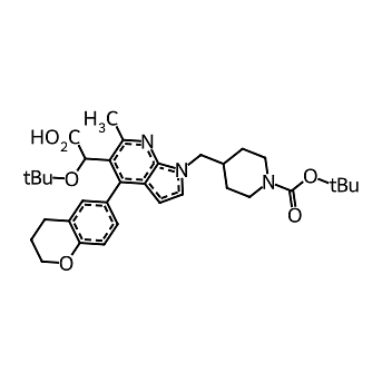 Cc1nc2c(ccn2CC2CCN(C(=O)OC(C)(C)C)CC2)c(-c2ccc3c(c2)CCCO3)c1C(OC(C)(C)C)C(=O)O